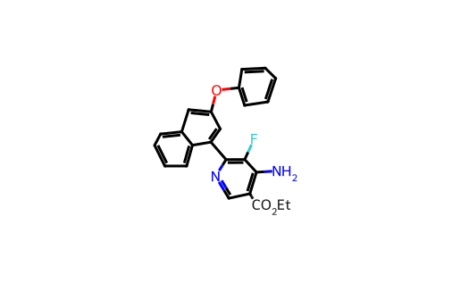 CCOC(=O)c1cnc(-c2cc(Oc3ccccc3)cc3ccccc23)c(F)c1N